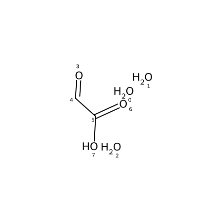 O.O.O.O=CC(=O)O